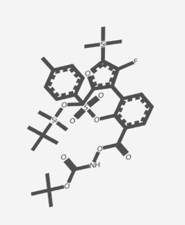 Cc1ccc(S(=O)(=O)Oc2c(C(=O)ONC(=O)OC(C)(C)C)cccc2-c2c(CO[Si](C)(C)C(C)(C)C)oc([Si](C)(C)C)c2F)cc1